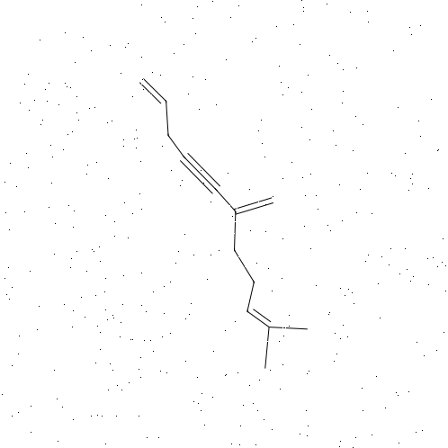 C=CCC#CC(=C)CCC=C(C)C